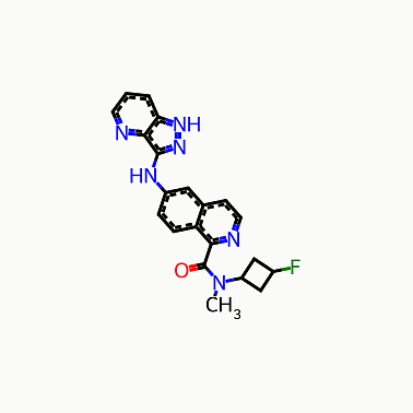 CN(C(=O)c1nccc2cc(Nc3n[nH]c4cccnc34)ccc12)C1CC(F)C1